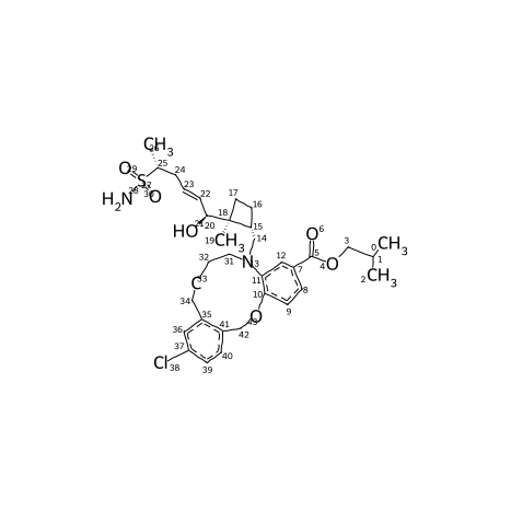 CC(C)COC(=O)c1ccc2c(c1)N(C[C@H]1CC[C@]1(C)[C@@H](O)/C=C/C[C@@H](C)S(N)(=O)=O)CCCCc1cc(Cl)ccc1CO2